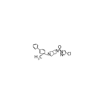 Cc1cc(-c2ccccc2)ccc1CN1CC2CN(C(=O)n3cc(Cl)cn3)CC2C1